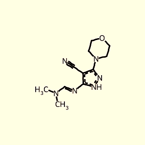 CN(C)C=Nc1[nH]nc(N2CCOCC2)c1C#N